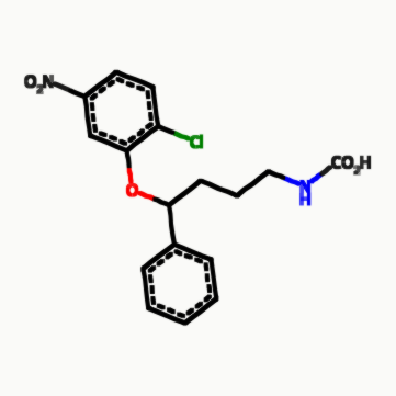 O=C(O)NCCCC(Oc1cc([N+](=O)[O-])ccc1Cl)c1ccccc1